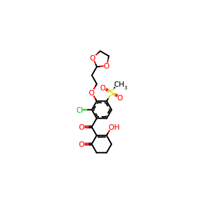 CS(=O)(=O)c1ccc(C(=O)C2=C(O)CCCC2=O)c(Cl)c1OCCC1OCCO1